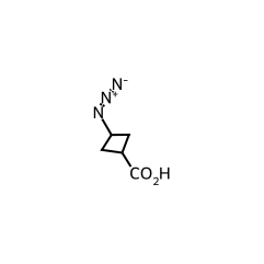 [N-]=[N+]=NC1CC(C(=O)O)C1